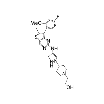 COc1cc(F)ccc1-c1c(C)sc2cnc(NC3=CN(C4CCN(CCO)CC4)NC3)nc12